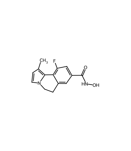 Cc1ccn2c1-c1c(F)cc(C(=O)NO)cc1CC2